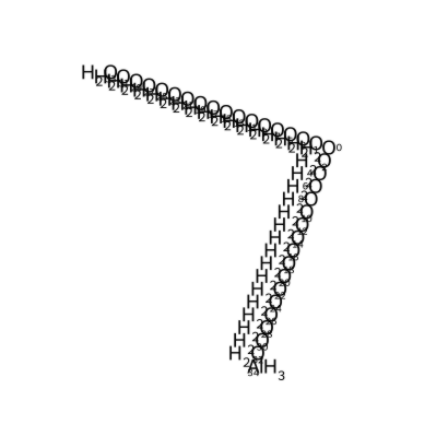 O.O.O.O.O.O.O.O.O.O.O.O.O.O.O.O.O.O.O.O.O.O.O.O.O.O.O.O.O.O.O.O.O.O.[AlH3]